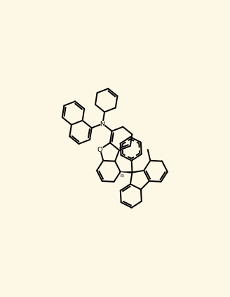 CC1CC=CC2=C1C(c1ccccc1)([C@H]1CC=CC3OC4=C(N(C5=CC=CC6C=CC=CC56)C5CC=CCC5)CCC=C4C31)C1=CC=CCC12